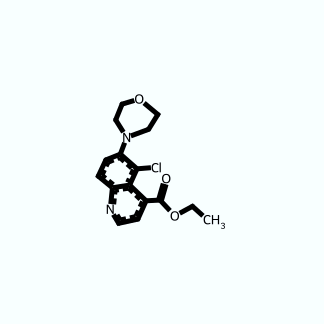 CCOC(=O)c1ccnc2ccc(N3CCOCC3)c(Cl)c12